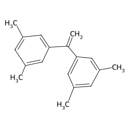 C=C(c1cc(C)cc(C)c1)c1cc(C)cc(C)c1